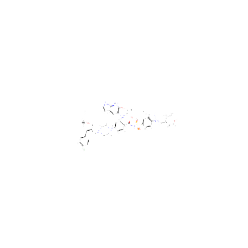 C[C@@H]1CN(c2cc(N3CCN(CC4=C(c5ccc(Cl)cc5)CC(C)(C)OC4)CC3)ccc2C(=O)NS(=O)(=O)c2ccc(NCC3CCOCC3)c([N+](=O)[O-])c2)c2cc3cc[nH]c3nc2O1